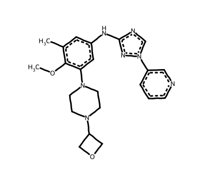 COc1c(C)cc(Nc2ncn(-c3cccnc3)n2)cc1N1CCN(C2COC2)CC1